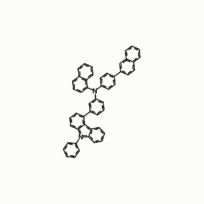 c1ccc(-n2c3ccccc3c3c(-c4cccc(N(c5ccc(-c6ccc7ccccc7c6)cc5)c5cccc6ccccc56)c4)cccc32)cc1